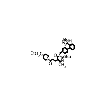 CCCCc1nc(C)c(CCC(=O)N2CCC(C(=O)OCC)CC2)c(=O)n1Cc1ccc(-c2ccccc2-c2nnn[nH]2)cc1